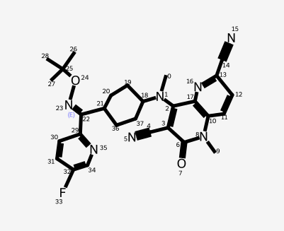 CN(c1c(C#N)c(=O)n(C)c2ccc(C#N)nc12)C1CCC(/C(=N\OC(C)(C)C)c2ccc(F)cn2)CC1